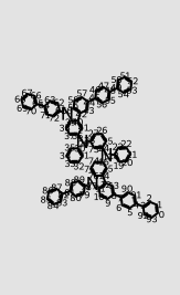 c1ccc(-c2ccc(-c3ccc4c(c3)c3cc(N(c5ccccc5)c5cccc(N(c6ccccc6)c6ccc7c(c6)c6cc(-c8ccc(-c9ccccc9)cc8)ccc6n7-c6ccc(-c7ccccc7)cc6)c5)ccc3n4-c3ccc(-c4ccccc4)cc3)cc2)cc1